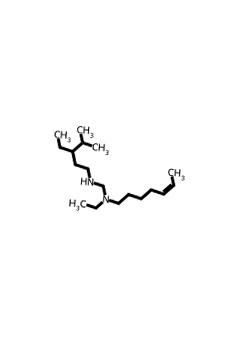 C/C=C\CCCCN(CC)CNCCC(CC)C(C)C